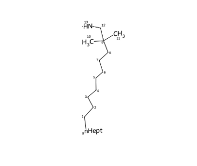 CCCCCCCCCCCCCCCC(C)(C)C[NH]